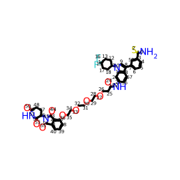 NC(=S)c1cccc(-c2cn(C3CCC(F)(F)CC3)c3cc(NC(=O)CCOCCOCCOCCOc4cccc5c4C(=O)N(C4CCC(=O)NC4=O)C5=O)ccc23)c1